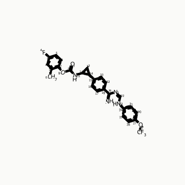 Cc1cc(F)ccc1OC(=O)NC1CC1c1ccc(C(=N)/N=C\Nc2ccc(OC(F)(F)F)cc2)cc1